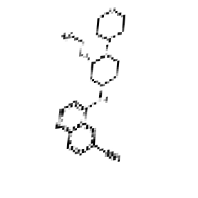 CC(C)[C@@H]1COCCN1[C@H]1CC[C@H](Nc2ncnc3ccc(C#N)cc23)CC1